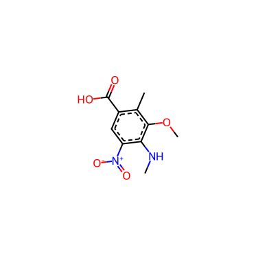 CNc1c([N+](=O)[O-])cc(C(=O)O)c(C)c1OC